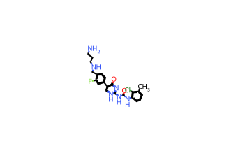 Cc1cccc(NC(=O)Nc2nc(=O)c(-c3ccc(CNCCCN)c(F)c3)c[nH]2)c1Cl